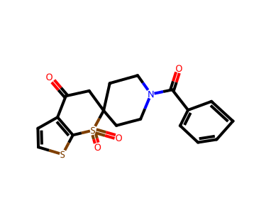 O=C1CC2(CCN(C(=O)c3ccccc3)CC2)S(=O)(=O)c2sccc21